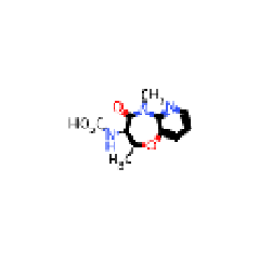 C[C@H]1Oc2cccnc2N(C)C(=O)[C@H]1NC(=O)O